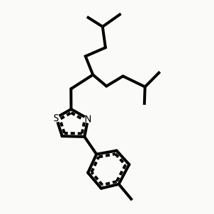 Cc1ccc(-c2csc(CC(CCC(C)C)CCC(C)C)n2)cc1